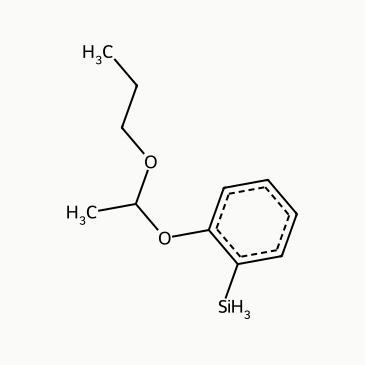 CCCOC(C)Oc1ccccc1[SiH3]